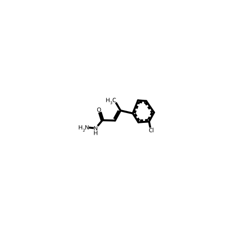 CC(=CC(=O)NN)c1cccc(Cl)c1